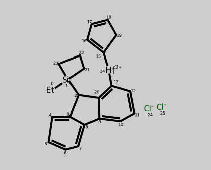 CC[Si]1(C2c3ccccc3-c3ccc[c]([Hf+2][C]4=CC=CC4)c32)CCC1.[Cl-].[Cl-]